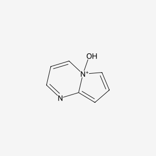 O[N+]12C=CC=NC1=CC=C2